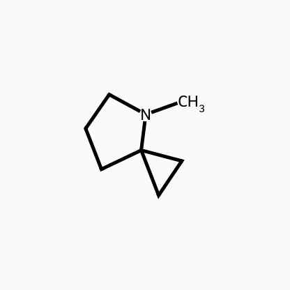 CN1CCCC12CC2